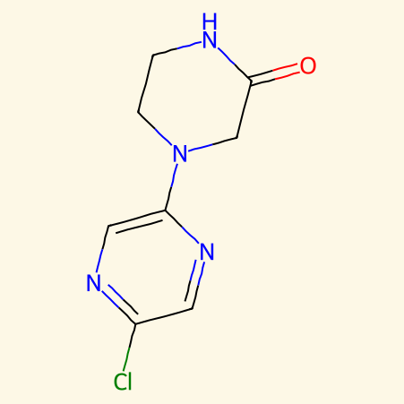 O=C1CN(c2cnc(Cl)cn2)CCN1